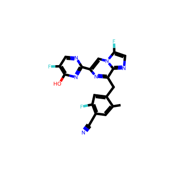 Cc1cc(C#N)c(F)cc1Cc1nc(-c2ncc(F)c(O)n2)cn2c(F)cnc12